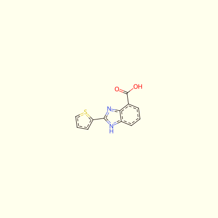 O=C(O)c1cccc2[nH]c(-c3cccs3)nc12